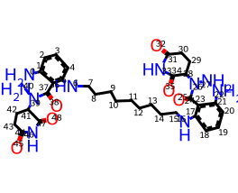 Nc1cccc(NCCCCCCCCCNc2cccc(N)c2C(=O)N(N)C2CCC(=O)NC2=O)c1C(=O)N(N)C1CCC(=O)NC1=O